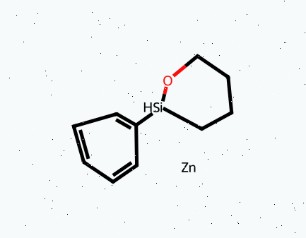 [Zn].c1ccc([SiH]2CCCCO2)cc1